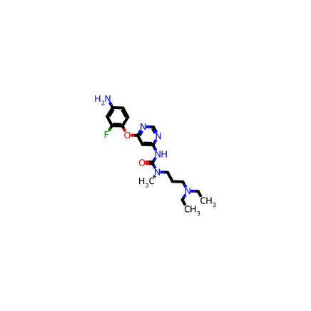 CCN(CC)CCCN(C)C(=O)Nc1cc(Oc2ccc(N)cc2F)ncn1